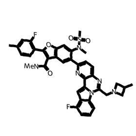 CNC(=O)c1c(-c2ccc(C)cc2F)oc2cc(N(C)S(C)(=O)=O)c(-c3ccc4nc(CN5CC(C)C5)n5c6cccc(F)c6cc5c4n3)cc12